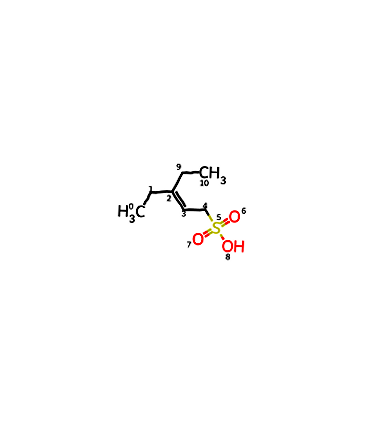 CCC(=CCS(=O)(=O)O)CC